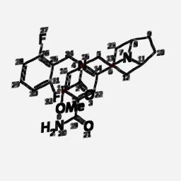 COCC(=O)N(CCN1C2CCC1CC(c1cccc(C(N)=O)c1)C2)Cc1c(F)cccc1F